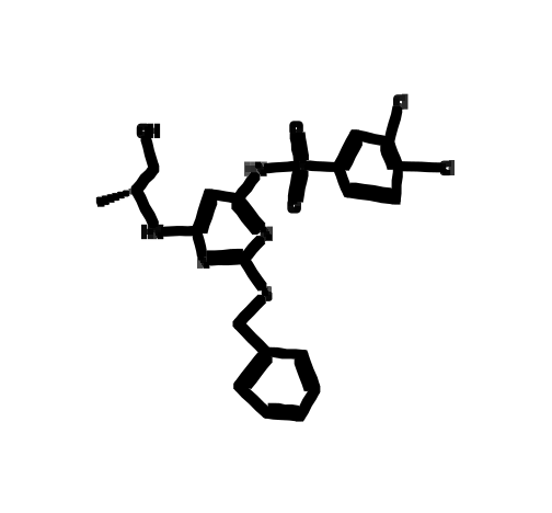 C[C@H](CO)Nc1cc(NS(=O)(=O)c2ccc(Cl)c(Cl)c2)nc(SCc2ccccc2)n1